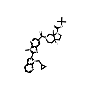 Cn1c(-c2cc3cccnc3n2CC2CC2)nc2cc(C(=O)N3CC[C@H]4CCN(C(=O)OC(C)(C)C)[C@H]4C3)cnc21